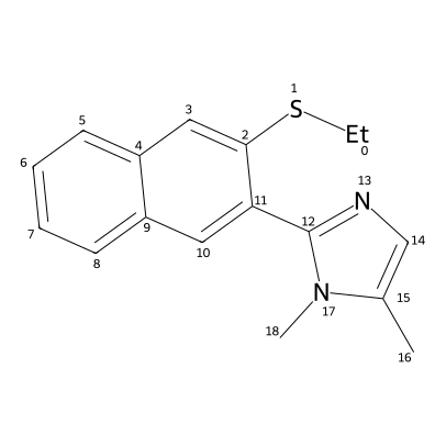 CCSc1cc2ccccc2cc1-c1ncc(C)n1C